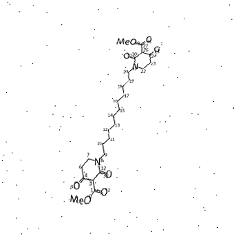 COC(=O)C1C(=O)CCN(CCCCCCCCCCCCN2CCC(=O)C(C(=O)OC)C2=O)C1=O